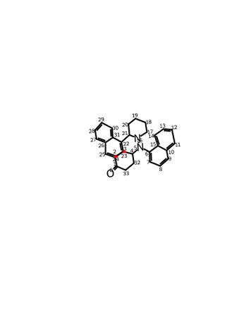 O=C1CCC(N(c2cccc3ccccc23)N2CCCCC2c2cccc3ccccc23)CC1